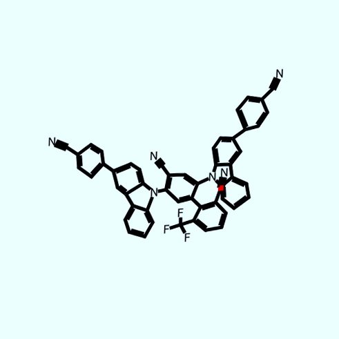 N#Cc1ccc(-c2ccc3c(c2)c2ccccc2n3-c2cc(-c3c(C#N)cccc3C(F)(F)F)c(-n3c4ccccc4c4cc(-c5ccc(C#N)cc5)ccc43)cc2C#N)cc1